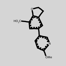 COc1ccc(-c2cc3c(c(C(=O)O)c2)OCC3)cn1